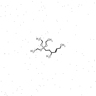 CCC=CC(C)CC[Si](OCC)(OCC)OCC